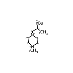 CCCCC(C)CN1CCN(C)CC1